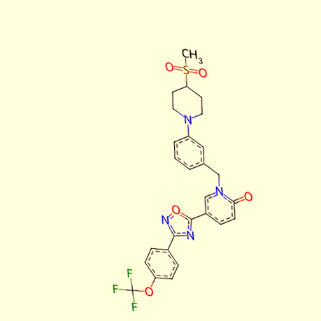 CS(=O)(=O)C1CCN(c2cccc(Cn3cc(-c4nc(-c5ccc(OC(F)(F)F)cc5)no4)ccc3=O)c2)CC1